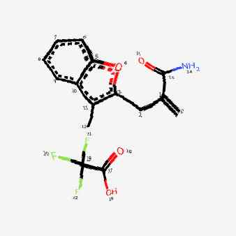 C=C(Cc1oc2ccccc2c1C)C(N)=O.O=C(O)C(F)(F)F